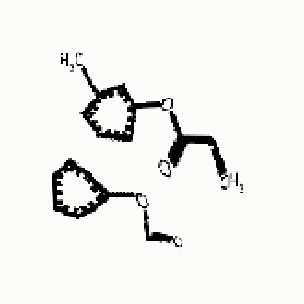 C=CC(=O)Oc1cccc(C)c1.O=COc1ccccc1